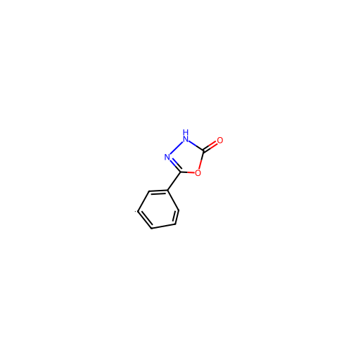 O=c1[nH]nc(-c2c[c]ccc2)o1